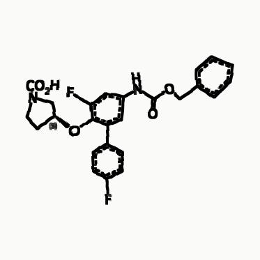 O=C(Nc1cc(F)c(O[C@H]2CCN(C(=O)O)C2)c(-c2ccc(F)cc2)c1)OCc1ccccc1